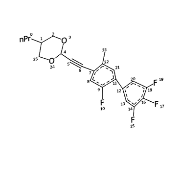 CCCC1COC(C#Cc2cc(F)c(-c3cc(F)c(F)c(F)c3)cc2C)OC1